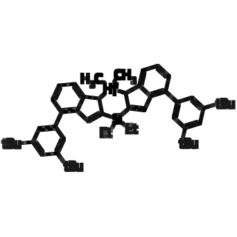 CC[Si]1(CC)C2=Cc3c(-c4cc(C(C)(C)C)cc(C(C)(C)C)c4)cccc3[CH]2[Hf]([CH3])([CH3])[CH]2C1=Cc1c(-c3cc(C(C)(C)C)cc(C(C)(C)C)c3)cccc12